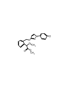 COC(=O)C(OC)c1ccccc1COc1ccn(-c2ccc(Cl)cc2)n1